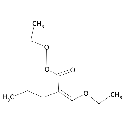 CCCC(=COCC)C(=O)OOCC